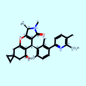 COc1ccc(-c2ccc(C)c(C(=O)O)n2)c(C)c1[C@H]1C2=C(CC3(CC3)CC2=O)OC2=C1C(=O)N(C)[C@@H]2C(C)C